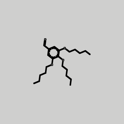 CCCCCOc1cc(C=O)cc(OCCCCC)c1OCCCCC